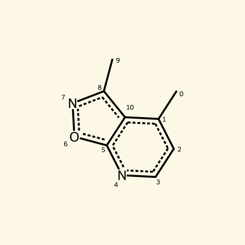 Cc1ccnc2onc(C)c12